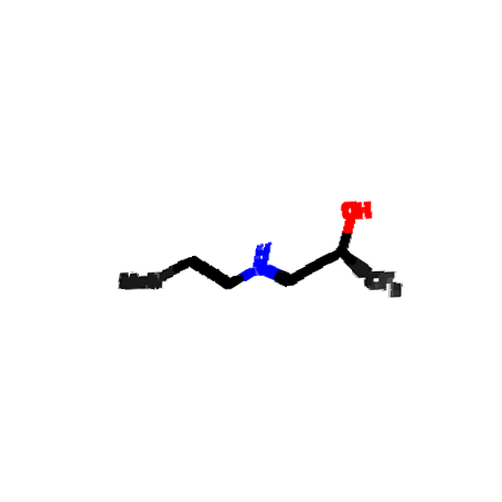 CNCCNC[C@@H](O)C(F)(F)F